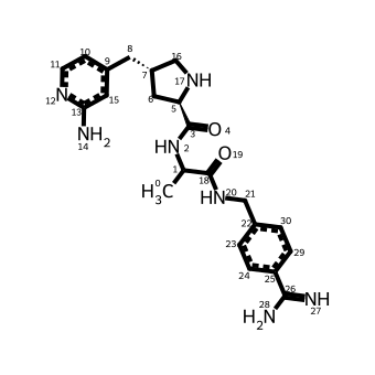 CC(NC(=O)[C@H]1C[C@H](Cc2ccnc(N)c2)CN1)C(=O)NCc1ccc(C(=N)N)cc1